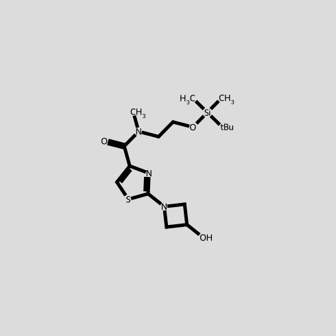 CN(CCO[Si](C)(C)C(C)(C)C)C(=O)c1csc(N2CC(O)C2)n1